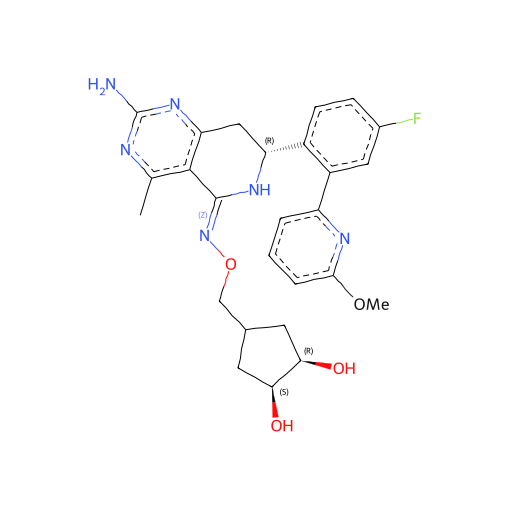 COc1cccc(-c2cc(F)ccc2[C@H]2Cc3nc(N)nc(C)c3/C(=N/OCC3C[C@@H](O)[C@@H](O)C3)N2)n1